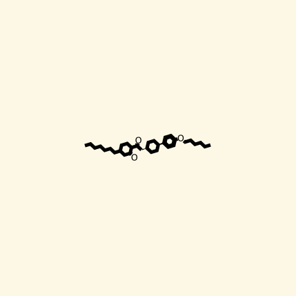 CCCCCCCC1CCC(C(=O)C[C@H]2CC[C@H](c3ccc(OCCCCCC)cc3)CC2)C(=O)C1